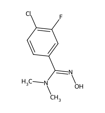 CN(C)/C(=N\O)c1ccc(Cl)c(F)c1